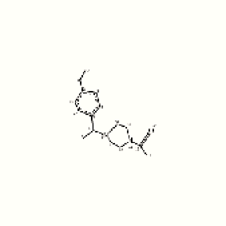 CCc1ccc(C(C)N2CCN(C(C)=O)CC2)cc1